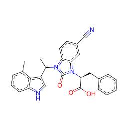 Cc1cccc2[nH]cc(C(C)n3c(=O)n([C@@H](Cc4ccccc4)C(=O)O)c4cc(C#N)ccc43)c12